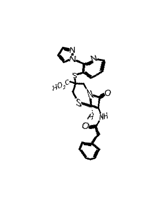 O=C(Cc1ccccc1)NC1C(=O)N2CC(Sc3cccnc3-n3cccn3)(C(=O)O)CS[C@H]12